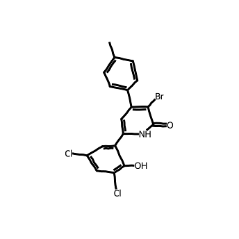 Cc1ccc(-c2cc(-c3cc(Cl)cc(Cl)c3O)[nH]c(=O)c2Br)cc1